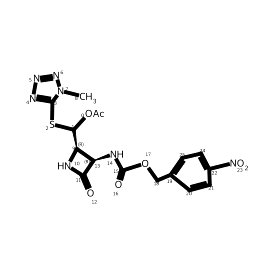 CC(=O)OC(Sc1nnnn1C)[C@@H]1NC(=O)[C@@H]1NC(=O)OCc1ccc([N+](=O)[O-])cc1